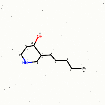 CC(C)CCCCC1CNCCC1O